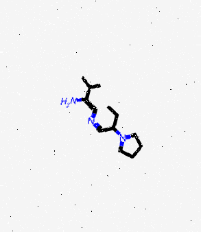 CCC(/C=N\C=C(/N)C(C)C)N1CCCC1